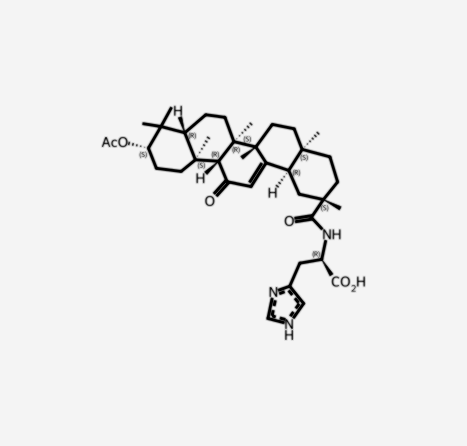 CC(=O)O[C@H]1CC[C@]2(C)[C@H]3C(=O)C=C4[C@@H]5C[C@@](C)(C(=O)N[C@H](Cc6c[nH]cn6)C(=O)O)CC[C@]5(C)CC[C@@]4(C)[C@]3(C)CC[C@H]2C1(C)C